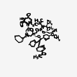 COc1ccc(C(OC[C@]2(COP(OCCC#N)N(C(C)C)C(C)C)CN(C3CCCCC3)C[C@H](n3ccc(=O)[nH]c3=O)O2)(c2ccccc2)c2ccc(OC)cc2)cc1